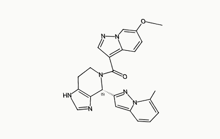 COc1ccc2c(C(=O)N3CCc4[nH]cnc4[C@H]3c3cc4cccc(C)n4n3)cnn2c1